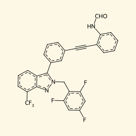 O=CNc1ccccc1C#Cc1cccc(-c2c3cccc(C(F)(F)F)c3nn2Cc2c(F)cc(F)cc2F)c1